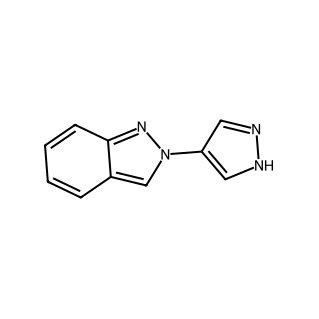 c1ccc2nn(-c3cn[nH]c3)cc2c1